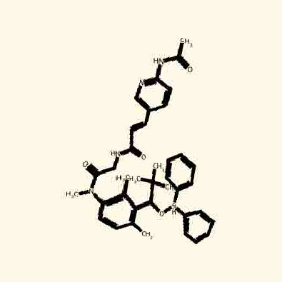 CC(=O)Nc1ccc(C=CC(=O)NCC(=O)N(C)c2ccc(C)c(C(O[SiH](c3ccccc3)c3ccccc3)C(C)(C)C)c2C)cn1